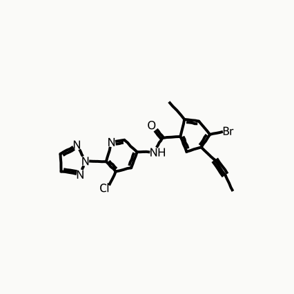 CC#Cc1cc(C(=O)Nc2cnc(-n3nccn3)c(Cl)c2)c(C)cc1Br